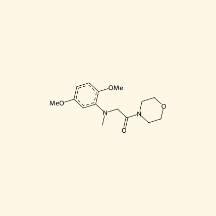 COc1ccc(OC)c(N(C)CC(=O)N2CCOCC2)c1